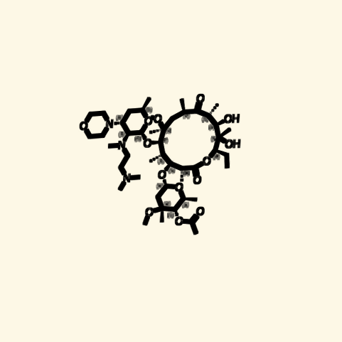 CC[C@H]1OC(=O)[C@H](C)[C@@H](O[C@H]2C[C@@](C)(OC)[C@@H](OC(C)=O)[C@H](C)O2)[C@H](C)[C@@H](O[C@@H]2O[C@H](C)C[C@@H](N3CCOCC3)[C@@H]2N(C)CCN(C)C)[C@@](C)(OC)C[C@@H](C)C(=O)[C@H](C)[C@@H](O)[C@]1(C)O